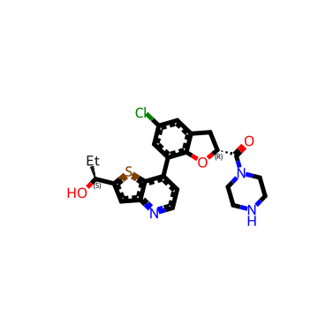 CC[C@H](O)c1cc2nccc(-c3cc(Cl)cc4c3O[C@@H](C(=O)N3CCNCC3)C4)c2s1